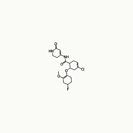 COC1=C(OC2CC(Cl)=CCC2C(=O)NC2=CC(=O)NCC2)CCC(F)C1